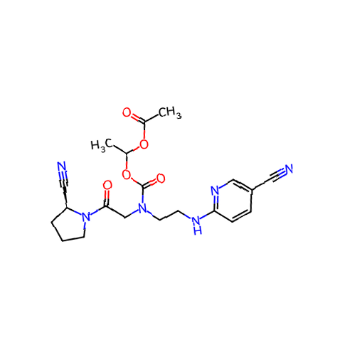 CC(=O)OC(C)OC(=O)N(CCNc1ccc(C#N)cn1)CC(=O)N1CCC[C@H]1C#N